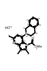 COC(=O)n1c(C)c(C)c2nc(C)cc(N3CCc4ccccc4C3)c21.Cl